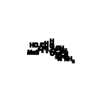 CSCC[C@H](NC[C@H]1O[C@@H](n2cnc3c(N)ncnc32)[C@H](O)[C@@H]1O)C(=O)O